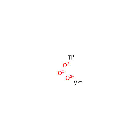 [O-2].[O-2].[O-2].[Tl+].[V+5]